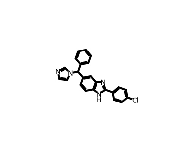 Clc1ccc(-c2nc3cc(C(c4ccccc4)n4ccnc4)ccc3[nH]2)cc1